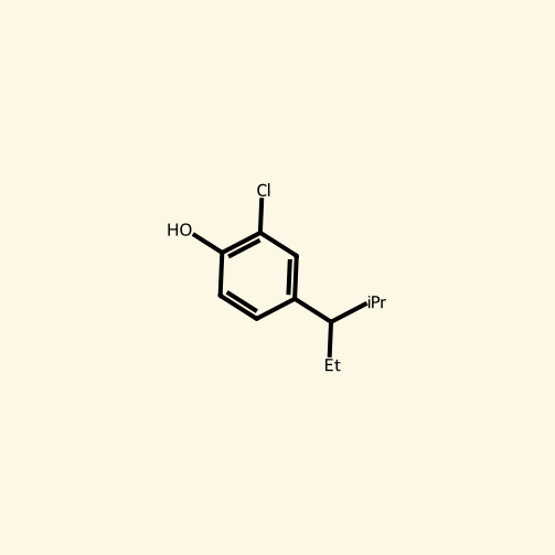 CCC(c1ccc(O)c(Cl)c1)C(C)C